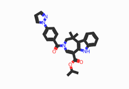 CC(C)OC(=O)C1=CN(C(=O)c2ccc(-n3cccn3)cc2)CC(C)(C)c2c1[nH]c1ccccc21